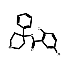 O=C(OC1(c2ccccc2)CCNCC1)c1cc(O)ccc1Cl